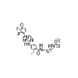 CCc1cc(Nc2nccn3c(-c4ccc(OC)c(F)c4F)cnc23)ccc1C(=O)NCCOC(C)(C)CNC(=O)OC(C)(C)C